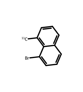 [11CH3]c1cccc2cccc(Br)c12